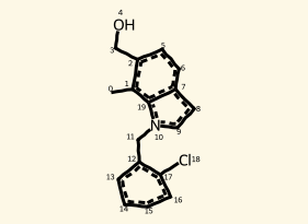 Cc1c(CO)ccc2ccn(Cc3ccccc3Cl)c12